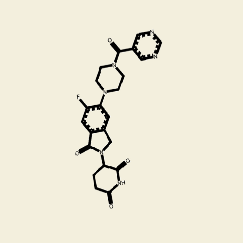 O=C1CCC(N2Cc3cc(N4CCN(C(=O)c5cncnc5)CC4)c(F)cc3C2=O)C(=O)N1